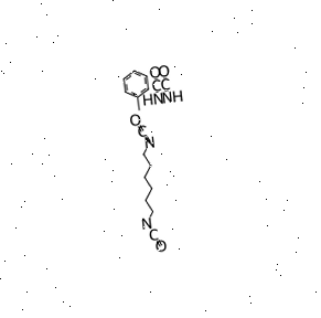 Cc1ccccc1.N=C=O.N=C=O.O=C=NCCCCCCN=C=O